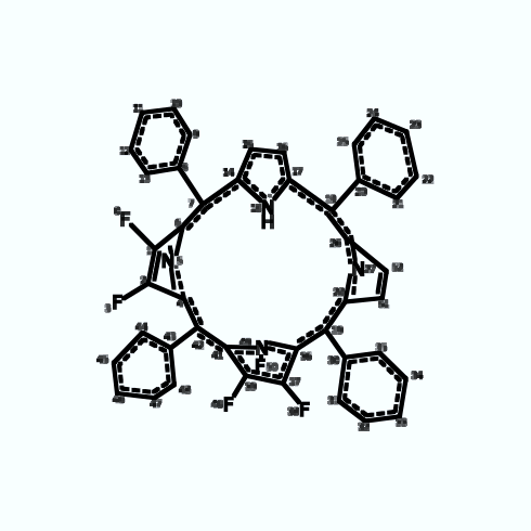 FC1=C(F)c2nc1c(-c1ccccc1)c1ccc([nH]1)c(-c1ccccc1)c1nc(c(-c3ccccc3)c3c(F)c(F)c(c2-c2ccccc2)n3F)C=C1